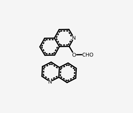 O=COc1nccc2ccccc12.c1ccc2ncccc2c1